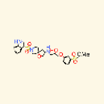 COCS(=O)(=O)c1cccc(OCC(O)CN[C@H]2COC3(CCN(S(=O)(=O)c4c[nH]c5ccccc45)CC3)C2)c1